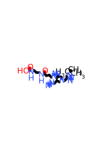 CC(C)(C)n1cc(CN(CCCN=[N+]=[N-])Cc2cn(CCCC(=O)NCCCNC(=O)O)nn2)nn1